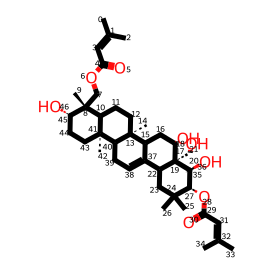 CC(C)=CC(=O)OC[C@]1(C)C2CC[C@@]3(C)C4C[C@@H](O)[C@]5(CO)C(CC(C)(C)[C@@H](OC(=O)C=C(C)C)[C@@H]5O)C4=CCC3[C@@]2(C)CC[C@@H]1O